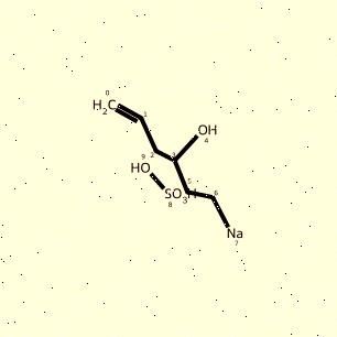 C=CCC(O)C[CH2][Na].O=S(=O)(O)O